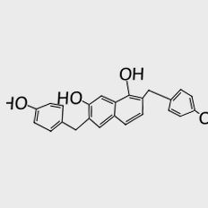 Oc1ccc(Cc2cc3ccc(Cc4ccc(O)cc4)c(O)c3cc2O)cc1